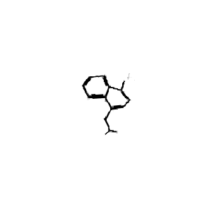 CC(C)Cc1ccc(N)c2ccccc12